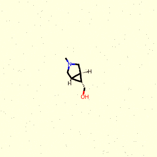 CN1C[C@@H]2[C@@H](CO)[C@@H]2C1